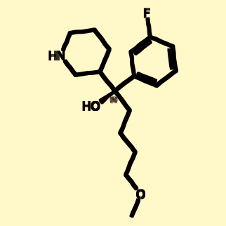 COCCCC[C@@](O)(c1cccc(F)c1)C1CCCNC1